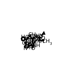 CCCC(NC(=O)[C@@H]1CC2(CN1C(=O)[C@@H](NC(=O)[C@@H](NC(=O)c1cnccn1)C1CCCCC1)C(C)(C)C)NC(=O)[C@H]1CCCN12)C(=O)C(=O)NC1CC1